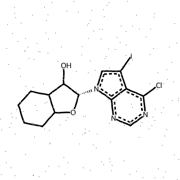 OC1C2CCCCC2O[C@H]1n1cc(I)c2c(Cl)ncnc21